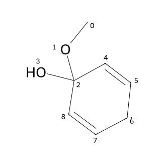 COC1(O)C=C[CH]C=C1